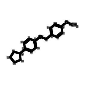 COc1ccc(COc2ccc(C3CCCC3)cc2)cc1